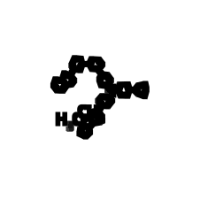 CC1(C)c2ccccc2-c2ccc(-c3ccc(N(c4ccc(-c5ccccc5)cc4)c4ccc(-c5cccc(-c6cccc(-c7ccc8ccccc8c7)c6)c5)cc4)cc3)cc21